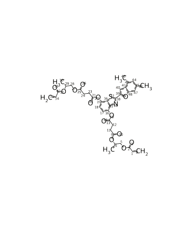 C=CC(=O)OCC(C)OC(=O)CCC(=O)Oc1ccc(OC(=O)CCC(=O)OCC(C)OC(=O)C=C)c2sc(-c3cc4c(C)cc(C)cc4o3)nc12